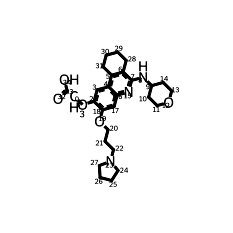 COc1cc2c3c(c(NC4CCOCC4)nc2cc1OCCCN1CCCC1)CCCC3.O=CO